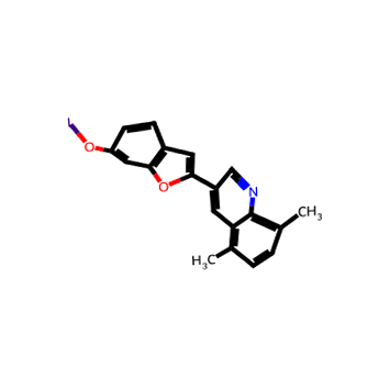 Cc1ccc(C)c2ncc(-c3cc4ccc(OI)cc4o3)cc12